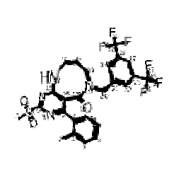 Cc1ccccc1-c1nc(S(C)(=O)=O)nc2c1C(=O)N(Cc1cc(C(F)(F)F)cc(C(F)(F)F)c1)CCCN2